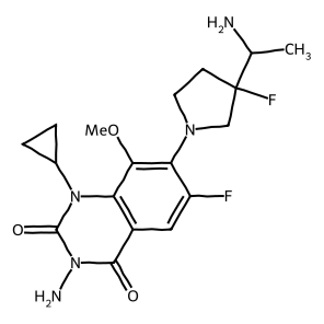 COc1c(N2CCC(F)(C(C)N)C2)c(F)cc2c(=O)n(N)c(=O)n(C3CC3)c12